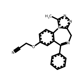 Cc1nnc2n1-c1ccc(OCC#N)cc1C(c1ccccc1)=NC2